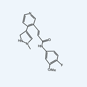 COc1cc(NC(=O)/C=C/c2cnccc2C2=CN(C)NC2)ccc1F